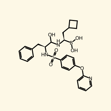 O=S(=O)(N[C@@H](Cc1ccccc1)C(O)N[C@@H](CC1CCC1)B(O)O)c1ccc(Oc2ccccn2)cc1